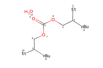 CCCCC(CC)COC(=O)OCC(CC)CCCC.O